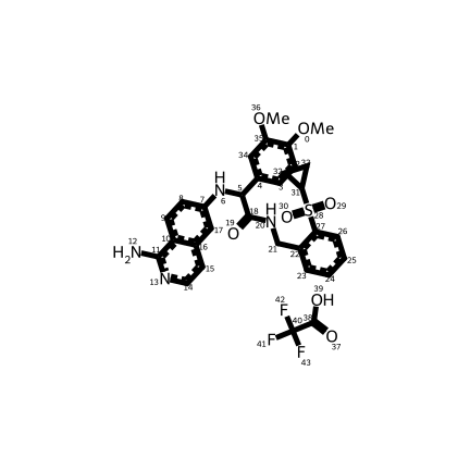 COc1ccc(C(Nc2ccc3c(N)nccc3c2)C(=O)NCc2ccccc2S(=O)(=O)C2CC2)cc1OC.O=C(O)C(F)(F)F